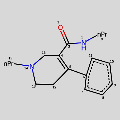 CCCNC(=O)C1=C(c2ccccc2)CCN(CCC)C1